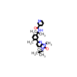 Cc1ccc(C(C)(C)NC(=O)c2cccnc2)cc1-c1ccc2c(n1)n(C)c(=O)n2CC(C)(C)C